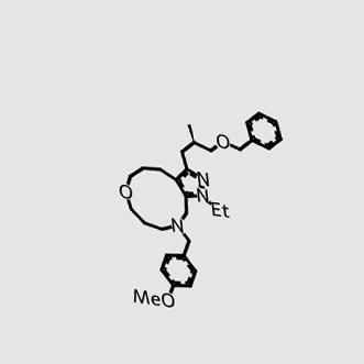 CCn1nc(C[C@@H](C)COCc2ccccc2)c2c1CN(Cc1ccc(OC)cc1)CCCOCCC2